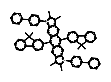 Cc1c(C)n(-c2ccc(-c3ccccc3)cc2)c2cc3c(-c4ccc5c(c4)C(C)(C)c4ccccc4-5)c4cc5c(C)c(C)n(-c6ccc(-c7ccccc7)cc6)c5cc4c(-c4ccc5c(c4)C(C)(C)c4ccccc4-5)c3cc12